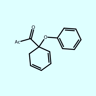 CC(=O)C(=O)C1(Oc2ccccc2)C=CC=CC1